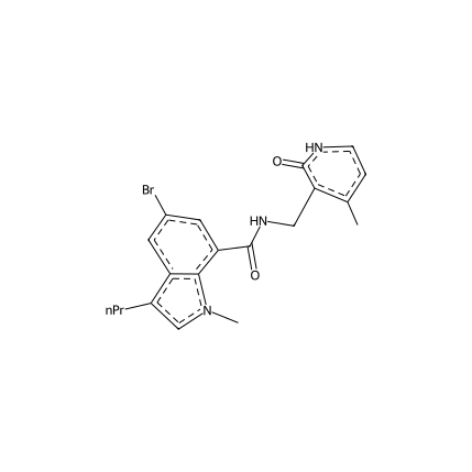 CCCc1cn(C)c2c(C(=O)NCc3c(C)cc[nH]c3=O)cc(Br)cc12